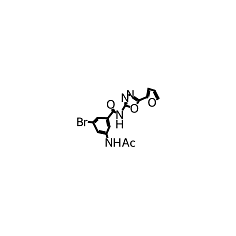 CC(=O)Nc1cc(Br)cc(C(=O)Nc2nnc(-c3ccco3)o2)c1